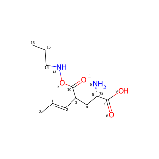 CC=CC(C[C@H](N)C(=O)O)C(=O)ONCCC